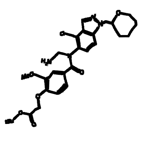 COc1cc(C(=O)N(CN)c2ccc3c(cnn3C3CCCCO3)c2Cl)ccc1OCC(=O)OC(C)(C)C